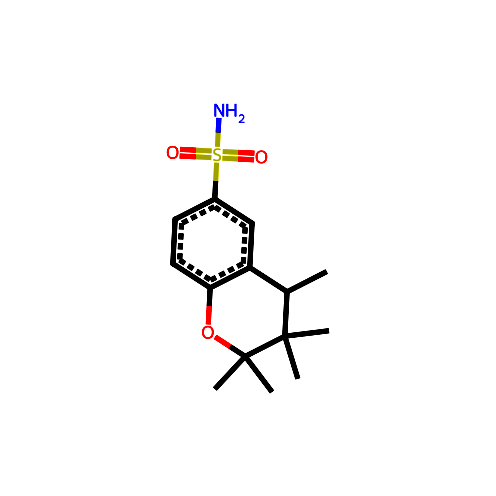 CC1c2cc(S(N)(=O)=O)ccc2OC(C)(C)C1(C)C